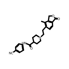 Cc1c(CCN2CCC(C(=O)Nc3ccc(C#N)cc3)CC2)ccc2c1COC2=O